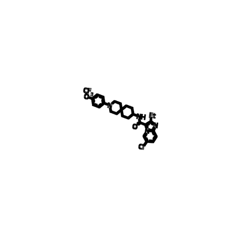 CCc1nc2ccc(Cl)cn2c1C(=O)NC1CCC2(CC1)CCN(c1ccc(OC(F)(F)F)cc1)CC2